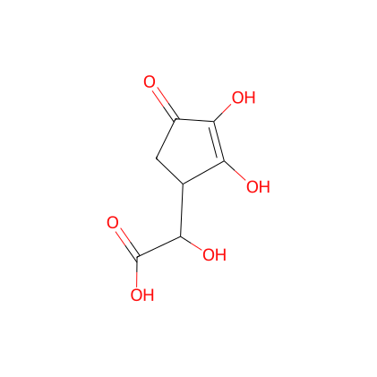 O=C1CC(C(O)C(=O)O)C(O)=C1O